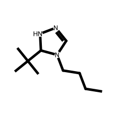 CCCCN1C=NNC1C(C)(C)C